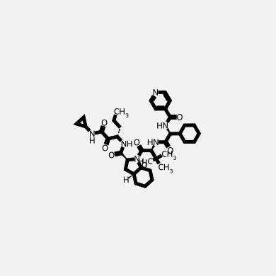 CCC[C@H](NC(=O)[C@@H]1C[C@@H]2CCCC[C@@H]2N1C(=O)[C@@H](NC(=O)[C@@H](NC(=O)c1ccncc1)C1CCCCC1)C(C)(C)C)C(=O)C(=O)NC1CC1